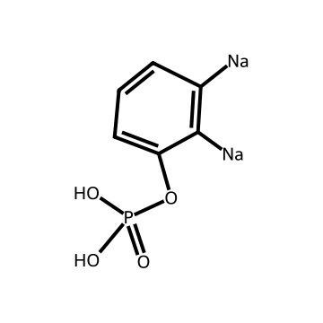 O=P(O)(O)Oc1ccc[c]([Na])[c]1[Na]